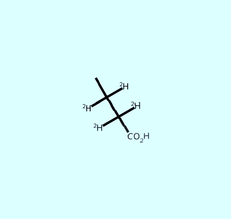 [2H]C([2H])(C)C([2H])([2H])C(=O)O